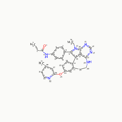 C=CC(=O)Nc1ccc(-c2c3c4c(ncnc4n2C)NCCc2cc(Oc4cc(C)ccn4)ccc2-3)cc1